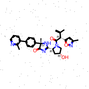 C=C(C)[C@@H](C(=O)N1C[C@H](O)C[C@@H]1C1=NC(=O)[C@](C)(c2ccc(-c3cccnc3C)cc2)N1)c1cc(C)no1